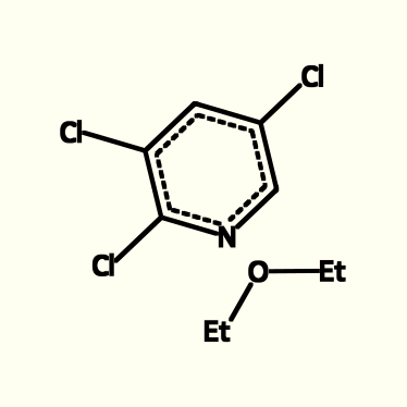 CCOCC.Clc1cnc(Cl)c(Cl)c1